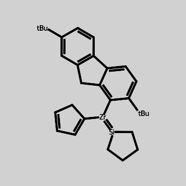 CC(C)(C)c1ccc2c(c1)Cc1c-2ccc(C(C)(C)C)[c]1[Zr]([C]1=CC=CC1)=[Si]1CCCC1